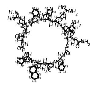 CC[C@@H]1NC(=O)[C@H](Cc2ccccc2)NC(=O)CSC[C@@H](C(=O)NCC(N)=O)NC(=O)[C@H](Cc2cncn2C)NC(=O)[C@H](CCCNC(=N)N)NC(=O)[C@H](Cc2cnc[nH]2)NC(=O)[C@H](Cc2ccccc2)N(C)C(=O)[C@H](CCCNC(=N)N)NC(=O)[C@H](CO)NC(=O)CNC(=O)[C@H](Cc2cnc[nH]2)NC(=O)[C@H](Cc2cccc3ccccc23)NC1=O